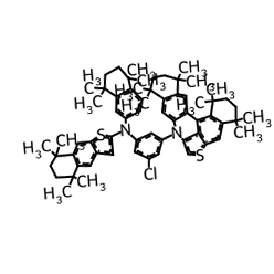 CC1(C)CCC(C)(C)c2cc(N(c3cc(Cl)cc(N4c5cc6c(cc5-c5c7c(cc8scc4c58)C(C)(C)CCC7(C)C)C(C)(C)CCC6(C)C)c3)c3cc4cc5c(cc4s3)C(C)(C)CCC5(C)C)ccc21